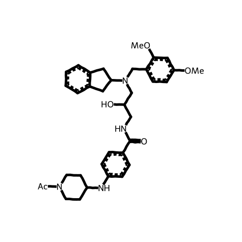 COc1ccc(CN(CC(O)CNC(=O)c2ccc(NC3CCN(C(C)=O)CC3)cc2)C2Cc3ccccc3C2)c(OC)c1